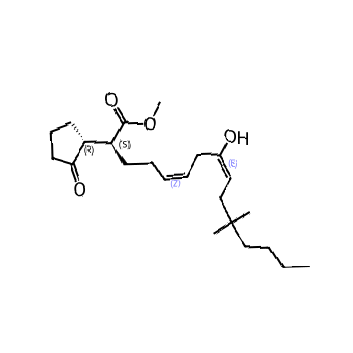 CCCCC(C)(C)C/C=C(/O)C/C=C\CC[C@H](C(=O)OC)[C@H]1CCCC1=O